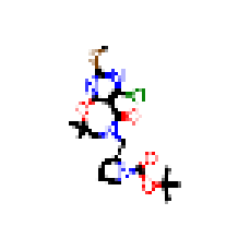 CSc1nc(Cl)c2c(n1)OC(C)(C)CN(C[C@@H]1CCCN1C(=O)OC(C)(C)C)C2=O